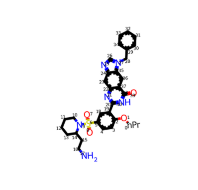 CCCOc1ccc(S(=O)(=O)N2CCCCC2CCN)cc1-c1nc2cc3ncn(Cc4ccccc4)c3cc2c(=O)[nH]1